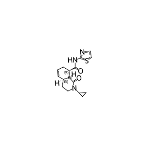 O=C(Nc1nccs1)[C@@H]1CC=C[C@@H]2CCN(C3CC3)C(=O)[C@@H]21